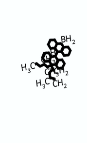 BC1C2=C(CCCC2)C(C2C3=C(CCCC3)C(C(=C)CC(C)C=C)(C(C)C(C)CCC)C3CC=CC[C@@H]23)C2CCCCC12